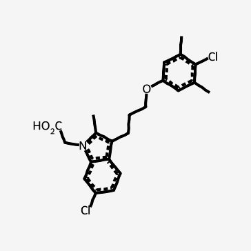 Cc1cc(OCCCc2c(C)n(CC(=O)O)c3cc(Cl)ccc23)cc(C)c1Cl